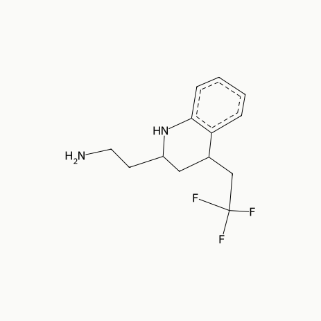 NCCC1CC(CC(F)(F)F)c2ccccc2N1